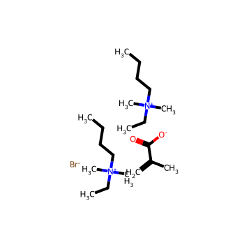 C=C(C)C(=O)[O-].CCCC[N+](C)(C)CC.CCCC[N+](C)(C)CC.[Br-]